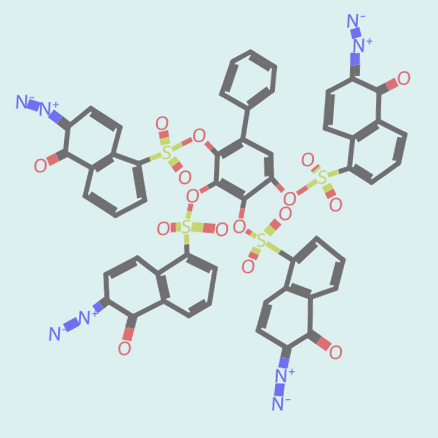 [N-]=[N+]=C1C=Cc2c(cccc2S(=O)(=O)Oc2cc(-c3ccccc3)c(OS(=O)(=O)c3cccc4c3C=CC(=[N+]=[N-])C4=O)c(OS(=O)(=O)c3cccc4c3C=CC(=[N+]=[N-])C4=O)c2OS(=O)(=O)c2cccc3c2C=CC(=[N+]=[N-])C3=O)C1=O